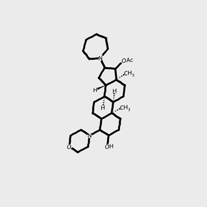 CC(=O)OC1C(N2CCCCCC2)C[C@H]2[C@@H]3CCC4C(N5CCOCC5)C(O)CC[C@]4(C)[C@@H]3CC[C@]12C